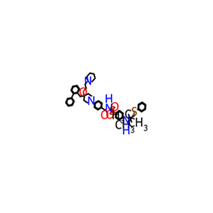 Cc1cc(S(=O)(=O)NC(=O)c2ccc(N3CCC(Cc4ccccc4-c4ccccc4)(OCCN4CCCCC4)CC3)cc2)ccc1NC(C)(C)CSc1ccccc1